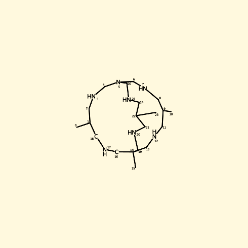 CC1CNCN2CNCC(C)CNCC(C)(CNC1)CNCC(C)CNC2